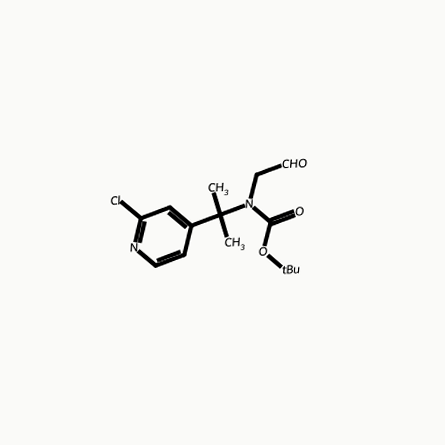 CC(C)(C)OC(=O)N(CC=O)C(C)(C)c1ccnc(Cl)c1